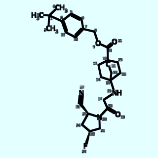 CC(C)(C)c1ccc(COC(=O)C23CCC(NCC(=O)N4C[C@@H](F)C[C@H]4C#N)(CC2)CC3)cc1